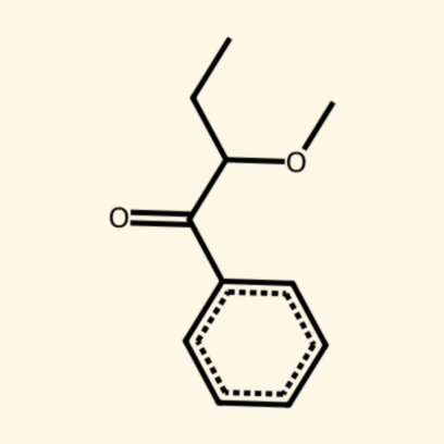 CCC(OC)C(=O)c1ccccc1